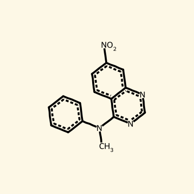 CN(c1ccccc1)c1ncnc2cc([N+](=O)[O-])ccc12